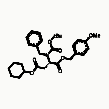 COc1ccc(COC(=O)[C@H](CC(=O)OC2CCCCC2)N(Cc2ccccc2)C(=O)OC(C)(C)C)cc1